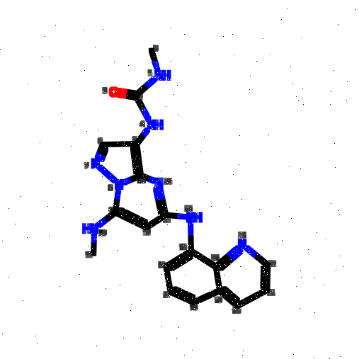 CNC(=O)Nc1cnn2c(NC)cc(Nc3cccc4cccnc34)nc12